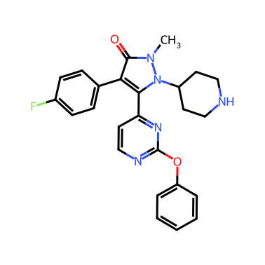 Cn1c(=O)c(-c2ccc(F)cc2)c(-c2ccnc(Oc3ccccc3)n2)n1C1CCNCC1